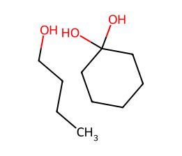 CCCCO.OC1(O)CCCCC1